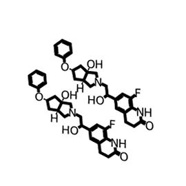 O=C1CCc2cc(C(O)CN3C[C@H]4C[C@H](Oc5ccccc5)C[C@@]4(O)C3)cc(F)c2N1.O=C1CCc2cc(C(O)CN3C[C@H]4C[C@H](Oc5ccccc5)C[C@@]4(O)C3)cc(F)c2N1